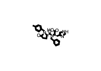 Cc1ccc(CN2C(=O)CC[C@H]2C(=O)N(Cc2ccccc2)[C@@H](Cc2c[nH]cn2)C(=O)O)cc1